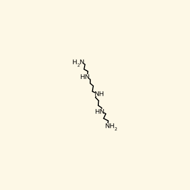 NCCCNCCCCNCCCCNCCCN